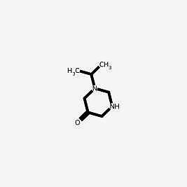 CC(C)N1CNCC(=O)C1